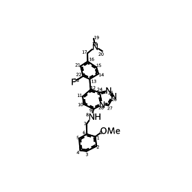 COc1ccccc1CNc1ccc(-c2ccc(CN(C)C)cc2F)c2nncn12